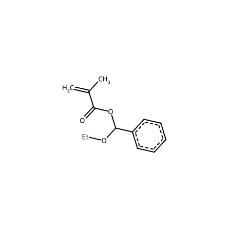 C=C(C)C(=O)OC(OCC)c1ccccc1